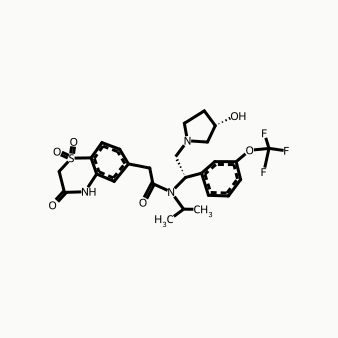 CC(C)N(C(=O)Cc1ccc2c(c1)NC(=O)CS2(=O)=O)[C@H](CN1CC[C@H](O)C1)c1cccc(OC(F)(F)F)c1